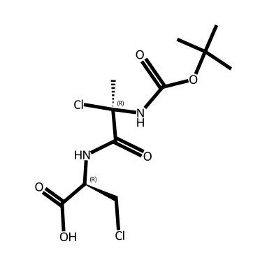 CC(C)(C)OC(=O)N[C@](C)(Cl)C(=O)N[C@@H](CCl)C(=O)O